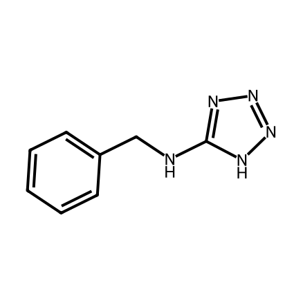 c1ccc(CNc2nnn[nH]2)cc1